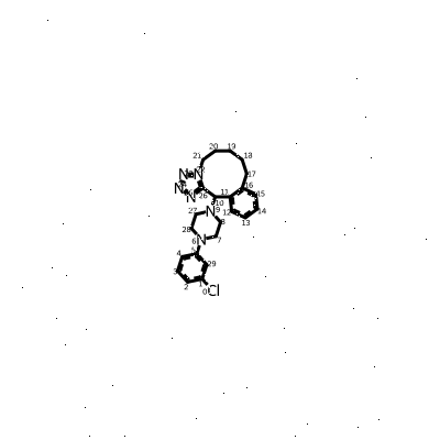 Clc1cccc(N2CCN(C3c4ccccc4CCCCCn4nnnc43)CC2)c1